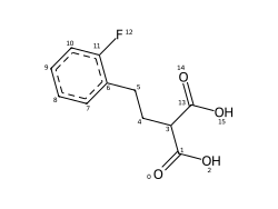 O=C(O)C(CCc1ccccc1F)C(=O)O